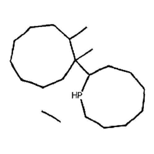 CC.CC1CCCCCCCC1(C)C1CCCCCCCP1